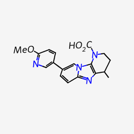 COc1ccc(-c2ccc3nc4c(n3c2)N(C(=O)O)CCC4C)cn1